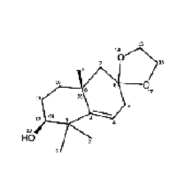 CC1(C)C2=CCC3(C[C@@]2(C)CC[C@@H]1O)OCCO3